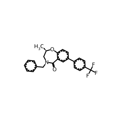 C[C@@H]1CN(Cc2ccccc2)C(=O)c2cc(-c3ccc(C(F)(F)F)cc3)ccc2O1